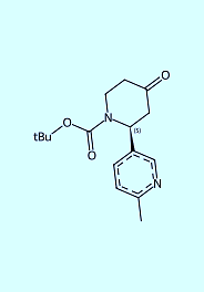 Cc1ccc([C@@H]2CC(=O)CCN2C(=O)OC(C)(C)C)cn1